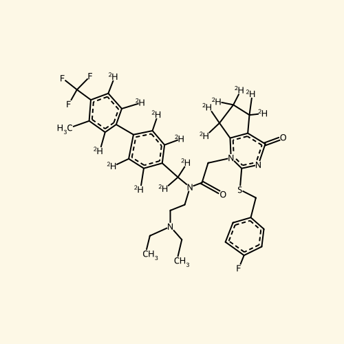 [2H]c1c([2H])c(C([2H])([2H])N(CCN(CC)CC)C(=O)Cn2c(SCc3ccc(F)cc3)nc(=O)c3c2C([2H])([2H])C([2H])([2H])C3([2H])[2H])c([2H])c([2H])c1-c1c([2H])c([2H])c(C(F)(F)F)c(C)c1[2H]